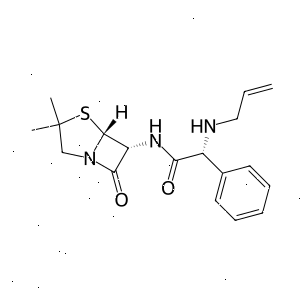 C=CCN[C@@H](C(=O)N[C@@H]1C(=O)N2CC(C)(C)S[C@H]12)c1ccccc1